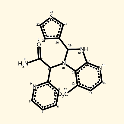 NC(=O)C(c1ccccn1)N1c2c(C(=O)O)ccnc2NC1c1ccsc1